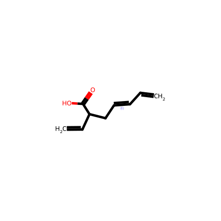 C=C/C=C/CC(C=C)C(=O)O